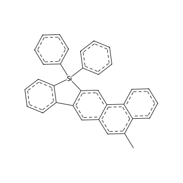 Cc1cc2cc3c(cc2c2ccccc12)[Si](c1ccccc1)(c1ccccc1)c1ccccc1-3